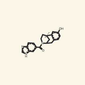 C[C@]12CCN(C(=O)c3ccc4nc[nH]c4c3)C(Cc3ccc(O)cc31)C2